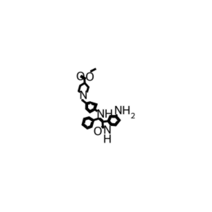 CCOC(=O)C1CCN(Cc2ccc(NC(=C3C(=O)Nc4ccc(N)cc43)c3ccccc3)cc2)CC1